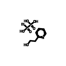 CCP(=O)(O)P(=O)(O)O.OCCc1ccccn1